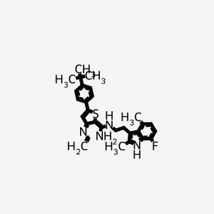 C=C/N=C1/C=C(c2ccc(C(C)(C)C)cc2)S/C1=C(/N)NCCc1c(C)[nH]c2c(F)ccc(C)c12